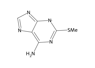 CSC1=NC(N)=C2N=CN=C2[N]1